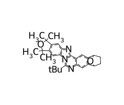 CC(C)(C)c1nc2cc3c(cc2c2nc4cc5c(cc4n12)C(C)(C)OC5(C)C)C1CCC3O1